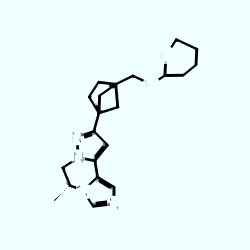 C[C@H]1Cn2nc(C34CCC(COC5CCCCO5)(C3)C4)cc2-c2cncn21